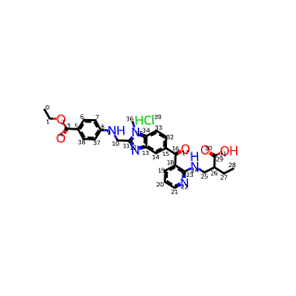 CCOC(=O)c1ccc(NCc2nc3cc(C(=O)c4cccnc4NCC(CC)C(=O)O)ccc3n2C)cc1.Cl